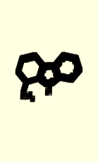 [InH2][CH]1CC=Cc2c1[nH]c1ccccc21